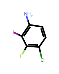 Nc1ccc(Cl)c(F)c1I